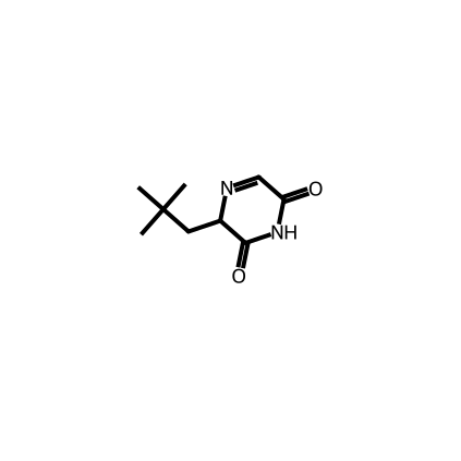 CC(C)(C)CC1N=CC(=O)NC1=O